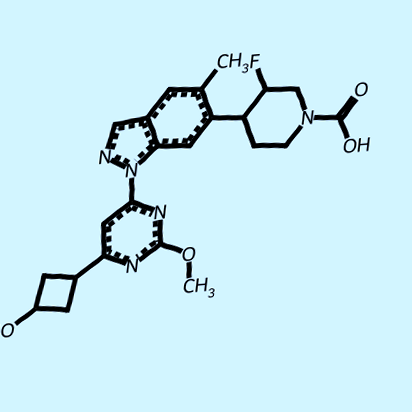 COc1nc(C2CC(O)C2)cc(-n2ncc3cc(C)c(C4CCN(C(=O)O)CC4F)cc32)n1